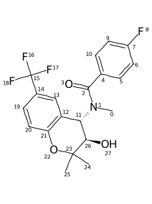 CN(C(=O)c1ccc(F)cc1)[C@H]1c2cc(C(F)(F)F)ccc2OC(C)(C)[C@@H]1O